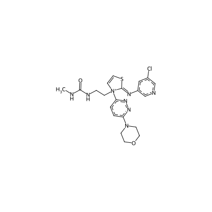 CNC(=O)NCC[N+]1(c2ccc(N3CCOCC3)nn2)C=CS/C1=N\c1cncc(Cl)c1